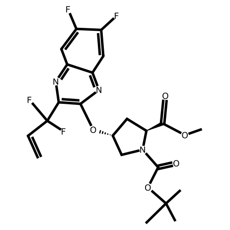 C=CC(F)(F)c1nc2cc(F)c(F)cc2nc1O[C@@H]1C[C@@H](C(=O)OC)N(C(=O)OC(C)(C)C)C1